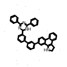 c1ccc(C2=NC(c3cccc(-c4cccc(-c5ccc6c(c5)c5c(c7ccccc76)CCN5)c4)c3)NC(c3ccccc3)=N2)cc1